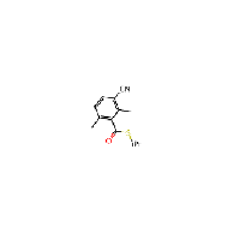 Cc1ccc(C#N)c(C)c1C(=O)SC(C)C